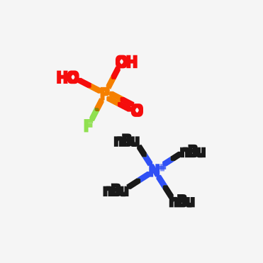 CCCC[N+](CCCC)(CCCC)CCCC.O=P(O)(O)F